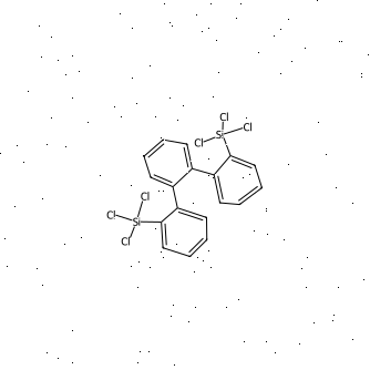 Cl[Si](Cl)(Cl)c1ccccc1-c1ccccc1-c1ccccc1[Si](Cl)(Cl)Cl